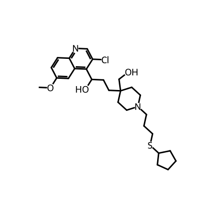 COc1ccc2ncc(Cl)c(C(O)CCC3(CO)CCN(CCCSC4CCCC4)CC3)c2c1